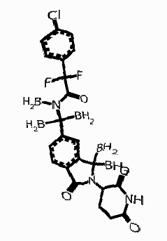 BN(C(=O)C(F)(F)c1ccc(Cl)cc1)C(B)(B)c1ccc2c(c1)C(B)(B)N(C1CCC(=O)NC1=O)C2=O